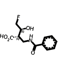 O=C(NC[C@H](C(=O)O)[C@H](O)CF)c1ccccc1